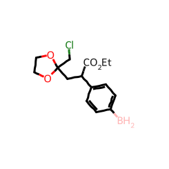 Bc1ccc(C(CC2(CCl)OCCO2)C(=O)OCC)cc1